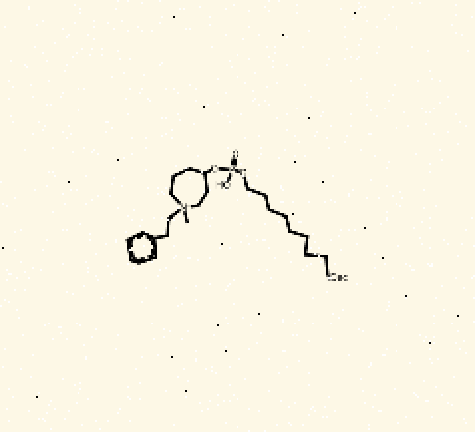 CCCCCCCCCCCCCCCCCCOP(=O)(O)OC1CCC[N+](C)(CCc2ccccc2)CC1